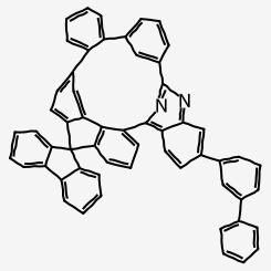 c1ccc(-c2cccc(-c3ccc4c5nc(nc4c3)-c3cccc(c3)-c3ccccc3-c3ccc4c(c3)-c3c-5cccc3C43c4ccccc4-c4ccccc43)c2)cc1